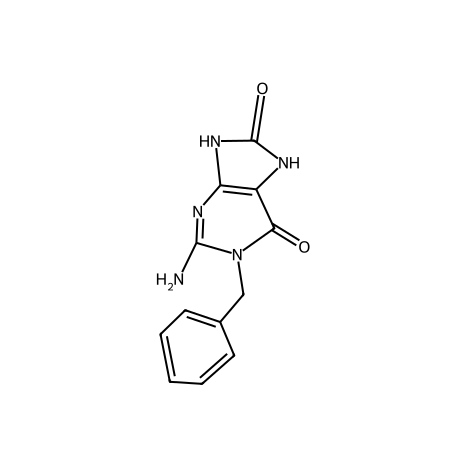 Nc1nc2[nH]c(=O)[nH]c2c(=O)n1Cc1ccccc1